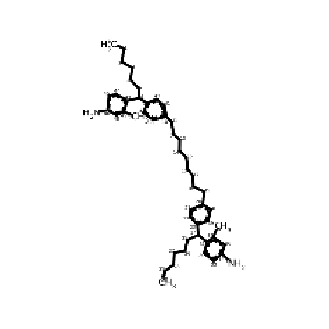 CCCCCCC(c1ccc(CCCCCCCCCc2ccc(C(CCCCCC)c3ccc(N)cc3C)cc2)cc1)c1ccc(N)cc1C